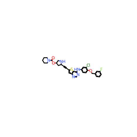 O=C(OC1CNC(C#Cc2cc3ncnc(Nc4ccc(OCc5cccc(F)c5)c(Cl)c4)c3s2)C1)N1CCCCC1